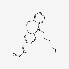 CCCCCCN1c2ccccc2CCc2cc(/C=C(\C)C=O)ccc21